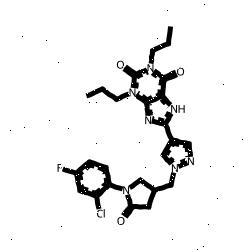 CCCn1c(=O)c2[nH]c(-c3cnn(CC4CC(=O)N(c5ccc(F)cc5Cl)C4)c3)nc2n(CCC)c1=O